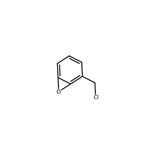 ClCc1cccc2c1O2